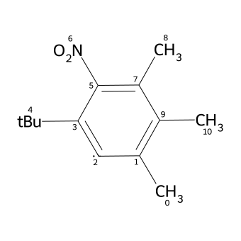 Cc1[c]c(C(C)(C)C)c([N+](=O)[O-])c(C)c1C